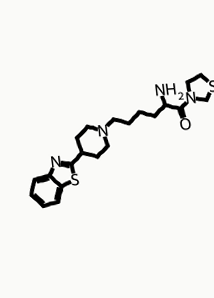 NC(CCCCN1CCC(c2nc3ccccc3s2)CC1)C(=O)N1CCSC1